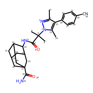 Cc1nn(C(C)(C)C(=O)NC2C3CC4CC2CC(C(N)=O)(C4)C3)c(C)c1-c1ccc(C#N)cc1